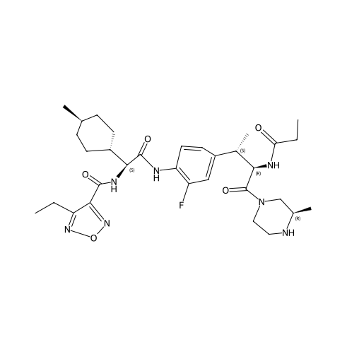 CCC(=O)N[C@@H](C(=O)N1CCN[C@H](C)C1)[C@@H](C)c1ccc(NC(=O)[C@@H](NC(=O)c2nonc2CC)[C@H]2CC[C@H](C)CC2)c(F)c1